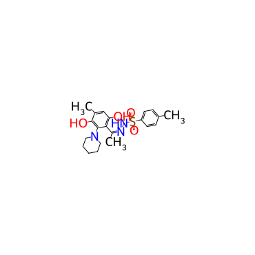 CC(=NNS(=O)(=O)c1ccc(C)cc1)c1c(O)cc(C)c(O)c1N1CCCCC1